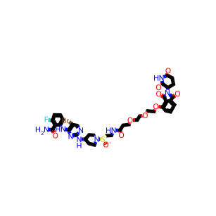 NC(=O)c1c(F)cccc1Nc1nc(NC2CCN([S+]([O-])CCNC(=O)CCOCCOCCOc3cccc4c3C(=O)N(C3CCC(=O)NC3=O)C4=O)CC2)ncc1Br